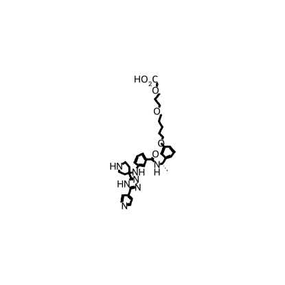 C[C@H](NC(=O)c1cccc(NC2(c3nnc(-c4ccncc4)[nH]3)CCNCC2)c1)c1cccc(OCCCCCOCCCOCC(=O)O)c1